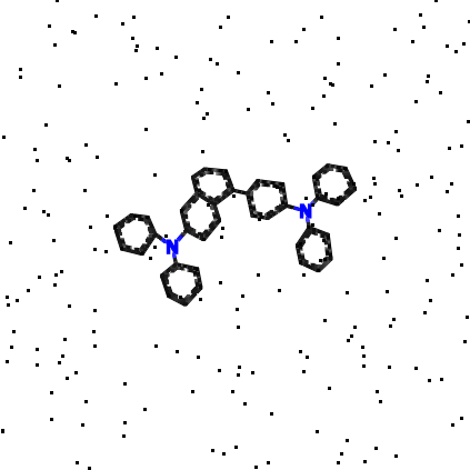 c1ccc(N(c2ccccc2)c2ccc(-c3cccc4cc(N(c5ccccc5)c5ccccc5)ccc34)cc2)cc1